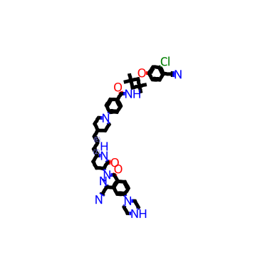 CC1(C)[C@H](NC(=O)c2ccc(N3CCC(/C=C/C=C4/CCC(n5nc(C#N)c6cc(N7CCNCC7)ccc6c5=O)C(=O)N4)CC3)cc2)C(C)(C)[C@H]1Oc1ccc(C#N)c(Cl)c1